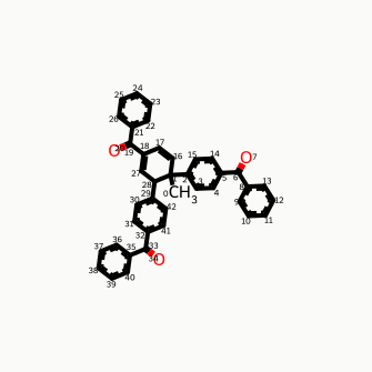 CC1(c2ccc(C(=O)c3ccccc3)cc2)C=CC(C(=O)c2ccccc2)=CC1c1ccc(C(=O)c2ccccc2)cc1